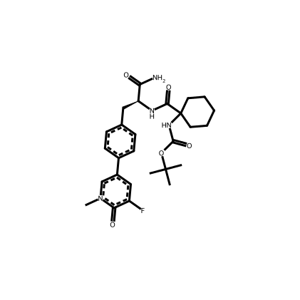 Cn1cc(-c2ccc(C[C@H](NC(=O)C3(NC(=O)OC(C)(C)C)CCCCC3)C(N)=O)cc2)cc(F)c1=O